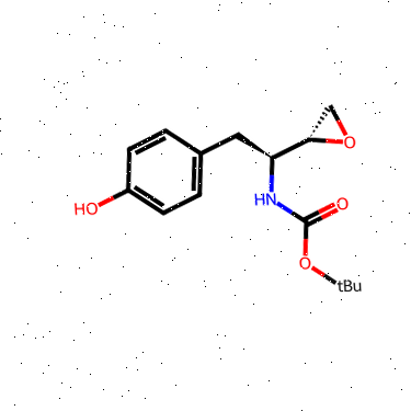 CC(C)(C)OC(=O)N[C@@H](Cc1ccc(O)cc1)[C@@H]1CO1